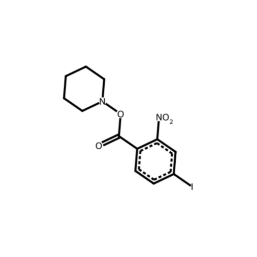 O=C(ON1CCCCC1)c1ccc(I)cc1[N+](=O)[O-]